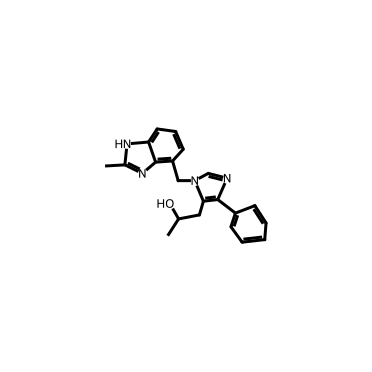 Cc1nc2c(Cn3cnc(-c4ccccc4)c3CC(C)O)cccc2[nH]1